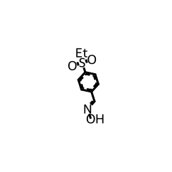 CCS(=O)(=O)c1ccc(C=NO)cc1